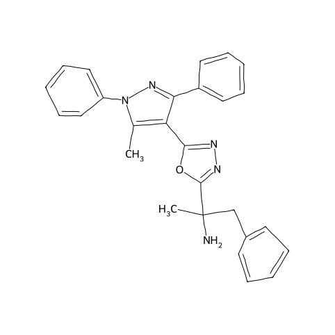 Cc1c(-c2nnc(C(C)(N)Cc3ccccc3)o2)c(-c2ccccc2)nn1-c1ccccc1